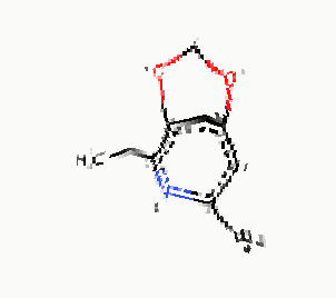 Cc1nc(C(C)(C)C)cc2c1OCO2